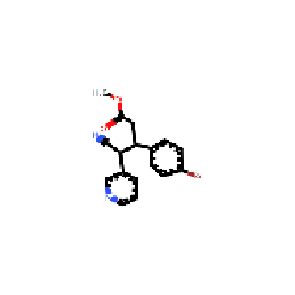 COC(=O)CC(c1ccc(Br)cc1)C(C#N)c1cccnc1